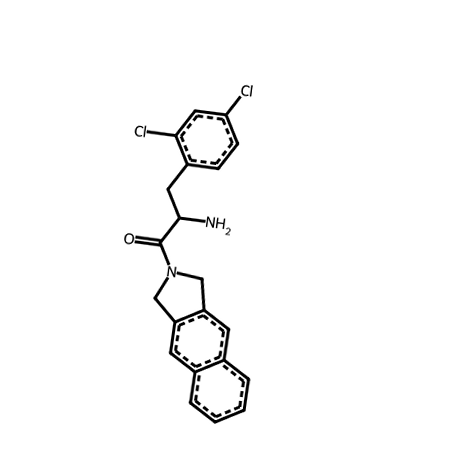 NC(Cc1ccc(Cl)cc1Cl)C(=O)N1Cc2cc3ccccc3cc2C1